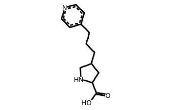 O=C(O)C1CC(CCCc2ccncc2)CN1